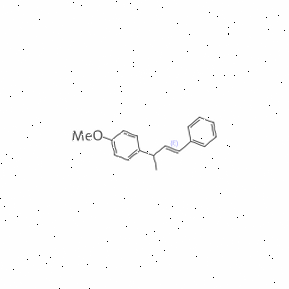 COc1ccc(C(C)/C=C/c2ccccc2)cc1